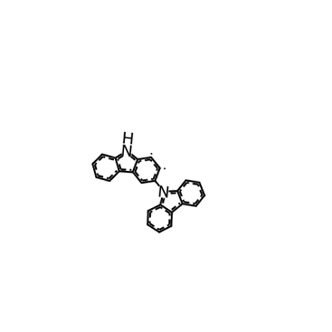 [c]1[c]c2[nH]c3ccccc3c2cc1-n1c2ccccc2c2ccccc21